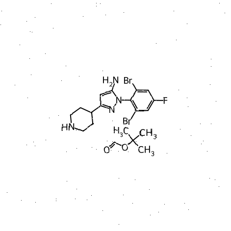 CC(C)(C)OC=O.Nc1cc(C2CCNCC2)nn1-c1c(Br)cc(F)cc1Br